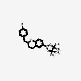 CC1(C)OB(c2ccc3c(c2)CCC(Cc2ccc(F)cc2)O3)OC1(C)C